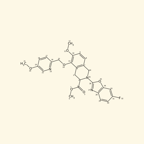 COC(=O)C1Cc2c(ccc(OC)c2OCc2ccc(OC)cn2)CN1c1nc2ccc(F)cc2o1